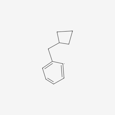 [c]1ccccc1CC1CCC1